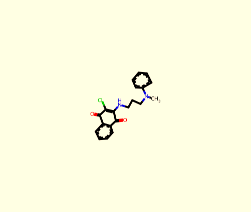 CN(CCCNC1=C(Cl)C(=O)c2ccccc2C1=O)c1ccccc1